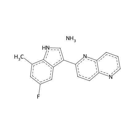 Cc1cc(F)cc2c(-c3ccc4ncccc4n3)c[nH]c12.N